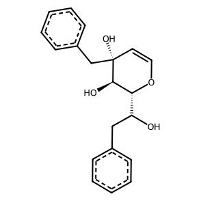 OC(Cc1ccccc1)[C@H]1OC=C[C@](O)(Cc2ccccc2)[C@@H]1O